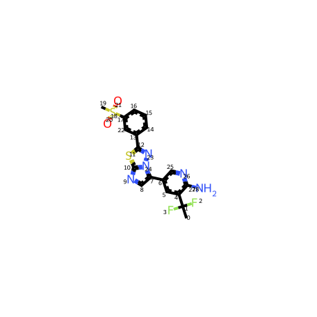 CC(F)(F)c1cc(-c2cnc3sc(-c4cccc(S(C)(=O)=O)c4)nn23)cnc1N